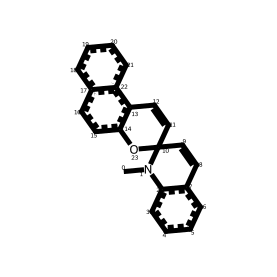 CN1c2ccccc2C=CC12C=Cc1c(ccc3ccccc13)O2